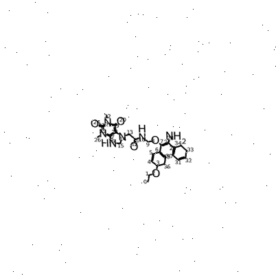 CCOC1C=CC(/C(OCNC(=O)CN2CNc3c2c(=O)n(C)c(=O)n3C)=C(/N)C2=CC=CCC2)=CC1